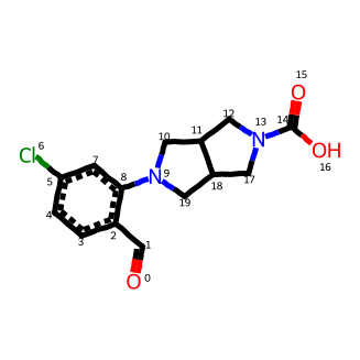 O=Cc1ccc(Cl)cc1N1CC2CN(C(=O)O)CC2C1